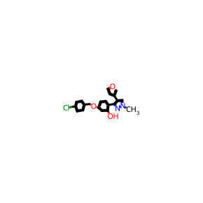 Cn1cc(-c2ccoc2)c(-c2ccc(OCc3ccc(Cl)cc3)cc2O)n1